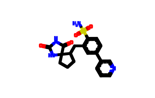 NS(=O)(=O)c1ccc(-c2cccnc2)cc1CC1CCCC12NC(=O)NC2=O